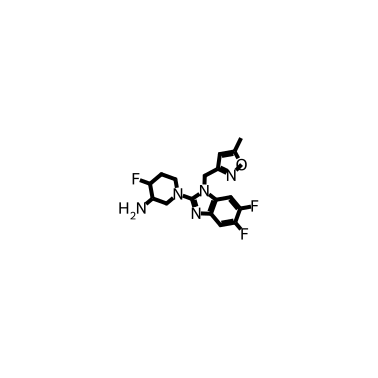 Cc1cc(Cn2c(N3CCC(F)C(N)C3)nc3cc(F)c(F)cc32)no1